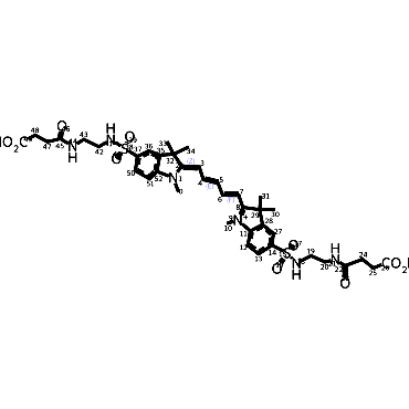 CN1\C(=C/C=C/C=C/C2=[N+](C)c3ccc(S(=O)(=O)NCCNC(=O)CCC(=O)O)cc3C2(C)C)C(C)(C)c2cc(S(=O)(=O)NCCNC(=O)CCC(=O)O)ccc21